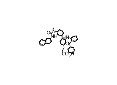 CN(C(=O)Nc1ccc2ccccc2c1)c1cccc(-c2ccc(CCC(=O)O)cc2Nc2ccccc2C(=O)c2ccccc2)c1